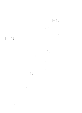 Cc1cc(CC(OC(=O)N2CCC(N3CCc4ccccc4NC3=O)CC2)C(=O)N2CCN(C3CCNCC3)CC2)cc(C)c1N